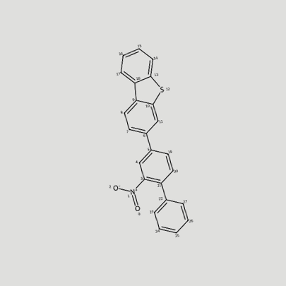 O=[N+]([O-])c1cc(-c2ccc3c(c2)sc2ccccc23)ccc1-c1ccccc1